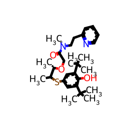 CC(Sc1cc(C(C)(C)C)c(O)c(C(C)(C)C)c1)[C@@H](C)OCC(=O)N(C)CCc1ccccn1